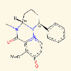 COc1c2n(ccc1=O)N1[C@H](c3ccccc3)CCC[C@H]1N(C)C2=O